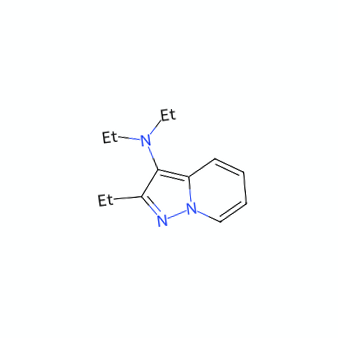 CCc1nn2ccccc2c1N(CC)CC